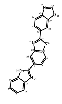 c1ccc2[nH]c(-c3ccc4sc(-c5ccc6ncoc6c5)nc4c3)nc2c1